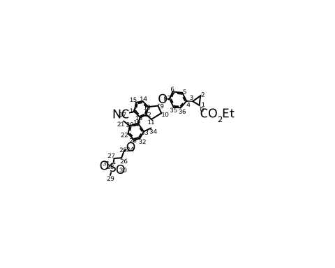 CCOC(=O)[C@H]1C[C@@H]1c1ccc(O[C@@H]2CCc3c2ccc(C#N)c3-c2c(C)cc(OCCCS(C)(=O)=O)cc2C)cc1